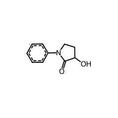 O=C1C(O)CCN1c1c[c]ccc1